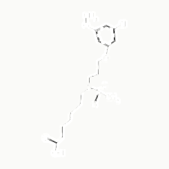 COc1cc(Cl)cc(OCCCN(CCCCCCC(=O)O)S(C)(=O)=O)c1